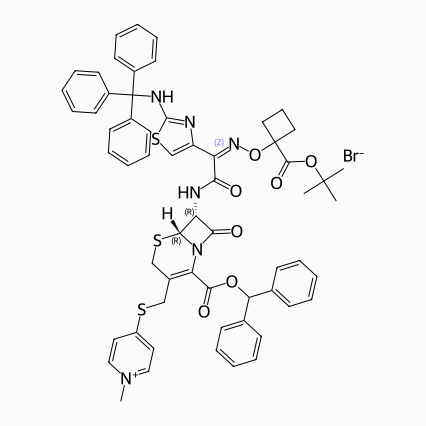 C[n+]1ccc(SCC2=C(C(=O)OC(c3ccccc3)c3ccccc3)N3C(=O)[C@@H](NC(=O)/C(=N\OC4(C(=O)OC(C)(C)C)CCC4)c4csc(NC(c5ccccc5)(c5ccccc5)c5ccccc5)n4)[C@H]3SC2)cc1.[Br-]